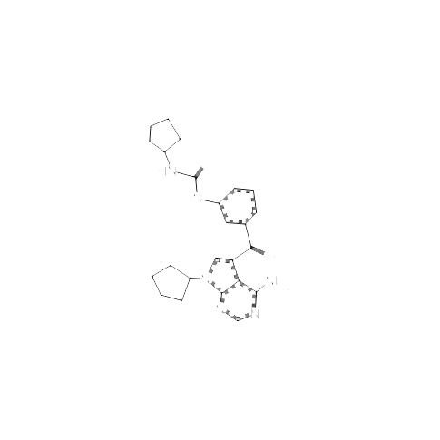 Nc1ncnc2c1c(C(=O)c1cccc(NC(=O)NC3CCCC3)c1)cn2C1CCCC1